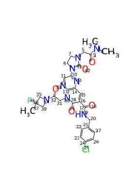 CN(C)C(=O)CN1CCN(c2cnc3c(cc(C(=O)NCc4ccc(Cl)cc4)c(=O)n3CC(=O)N3CC(C)(F)C3)n2)C1=O